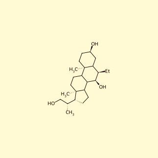 CC[C@@H]1C2C[C@H](O)CC[C@]2(C)C2CC[C@@]3(C)C(CC[C@@H]3[C@H](C)CO)C2[C@@H]1O